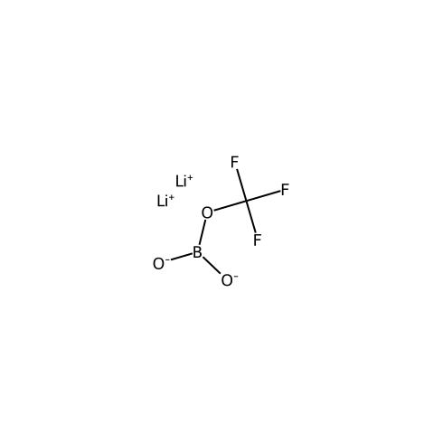 [Li+].[Li+].[O-]B([O-])OC(F)(F)F